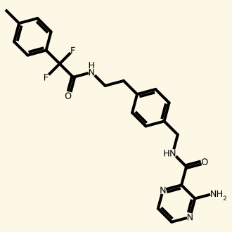 Cc1ccc(C(F)(F)C(=O)NCCc2ccc(CNC(=O)c3nccnc3N)cc2)cc1